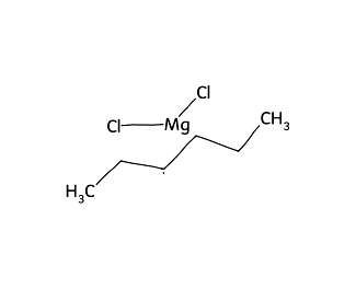 CC[CH]CCC.[Cl][Mg][Cl]